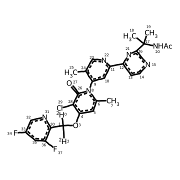 [2H]C([2H])(Oc1cc(C)n(-c2cc(-c3ccnc(C(C)(C)NC(C)=O)n3)ncc2C)c(=O)c1Cl)c1ncc(F)cc1F